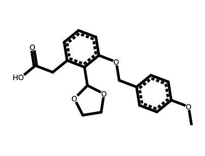 COc1ccc(COc2cccc(CC(=O)O)c2C2OCCO2)cc1